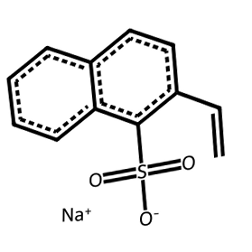 C=Cc1ccc2ccccc2c1S(=O)(=O)[O-].[Na+]